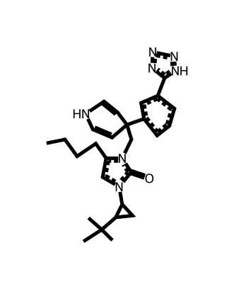 CCCCc1cn(C2CC2C(C)(C)C)c(=O)n1CC1(c2cccc(-c3nnn[nH]3)c2)C=CNC=C1